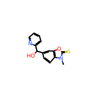 Cn1c(=S)oc2cc(C(O)c3ccccn3)ccc21